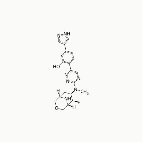 CN(c1ncc(-c2ccc(-c3cn[nH]c3)cc2O)nn1)[C@@H]1C[C@H]2COC[C@H](N2)[C@@H]1F